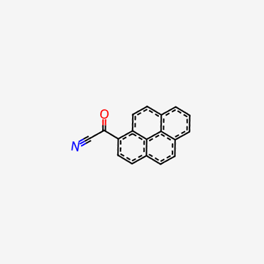 N#CC(=O)c1ccc2ccc3cccc4ccc1c2c34